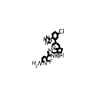 Nc1ccc(-c2cnc(C3(O)CCc4cc(-c5cc(Cl)ccc5-n5cnnn5)cnc43)[nH]2)c(F)n1